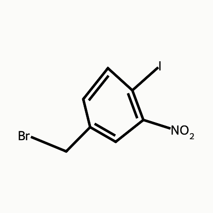 O=[N+]([O-])c1cc(CBr)ccc1I